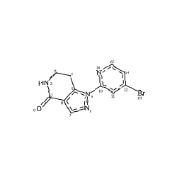 O=C1NCCc2c1cnn2-c1cc(Br)ccn1